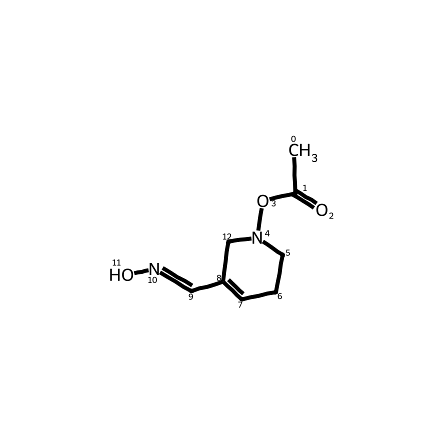 CC(=O)ON1CCC=C(C=NO)C1